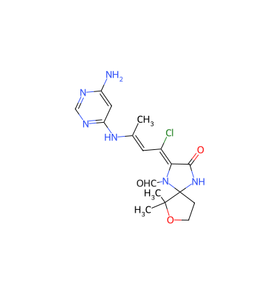 C/C(=C\C(Cl)=C1\C(=O)NC2(CCOC2(C)C)N1C=O)Nc1cc(N)ncn1